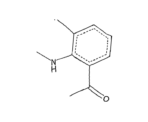 [CH2]c1cccc(C(C)=O)c1NC